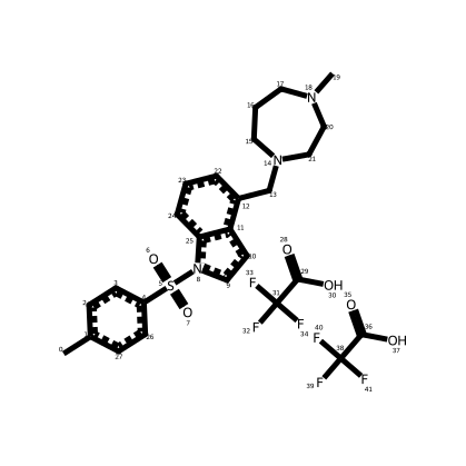 Cc1ccc(S(=O)(=O)n2ccc3c(CN4CCCN(C)CC4)cccc32)cc1.O=C(O)C(F)(F)F.O=C(O)C(F)(F)F